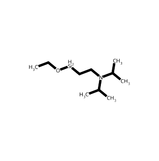 CCO[SiH2]CCN(C(C)C)C(C)C